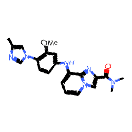 COc1cc(Nc2cccn3cc(C(=O)N(C)C)nc23)ccc1-n1cnc(C)c1